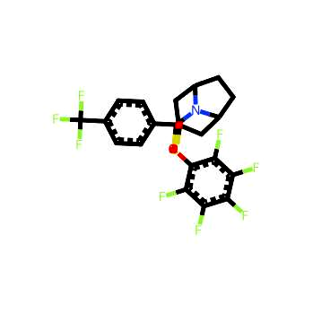 Fc1c(F)c(F)c(OC2(c3ccc(C(F)(F)F)cc3)CC3CCC(C2)N3C=S)c(F)c1F